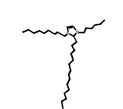 CCCCCCCCCCCCCCCC1N(CCCCCC)C=CN1CCCCCCCCC